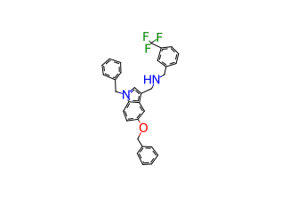 FC(F)(F)c1cccc(CNCc2cn(Cc3ccccc3)c3ccc(OCc4ccccc4)cc23)c1